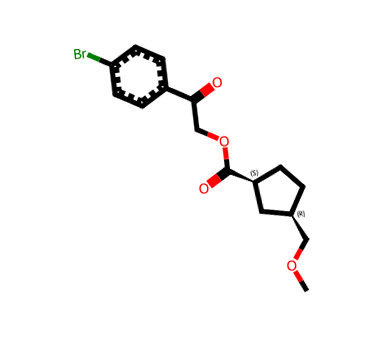 COC[C@@H]1CC[C@H](C(=O)OCC(=O)c2ccc(Br)cc2)C1